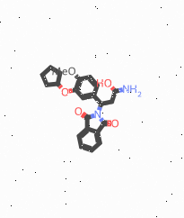 COc1ccc(C(CC(N)O)N2C(=O)c3ccccc3C2=O)cc1OC1CCCC1